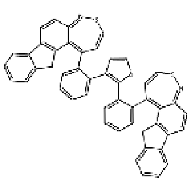 C1=CC(c2ccccc2-c2ccsc2-c2ccccc2C2=c3c4c(ccc3=NSC=C2)-c2ccccc2C4)=c2c3c(ccc2=NS1)-c1ccccc1C3